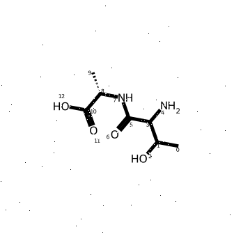 CC(O)C(N)C(=O)N[C@@H](C)C(=O)O